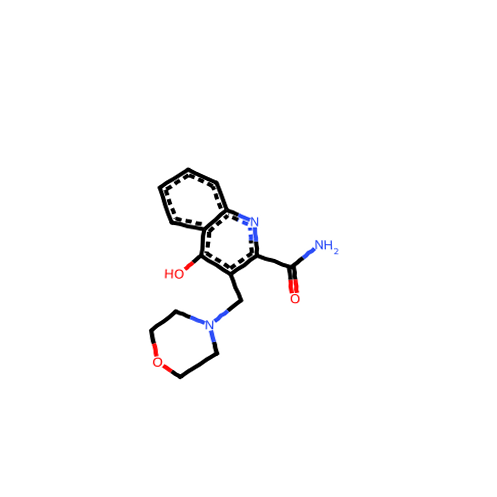 NC(=O)c1nc2ccccc2c(O)c1CN1CCOCC1